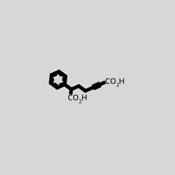 O=C(O)C#CCCC(C(=O)O)c1ccccc1